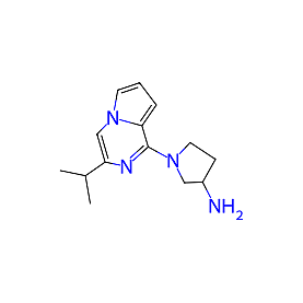 CC(C)c1cn2cccc2c(N2CCC(N)C2)n1